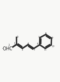 C/C([C]=O)=C\C=C\c1ccccc1